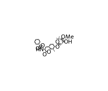 CO[C@@H]1[C@@H](O)C[C@H](Oc2ccc3cc(NS(=O)(=O)c4ccccc4)c(=O)oc3c2C)OC1(C)C